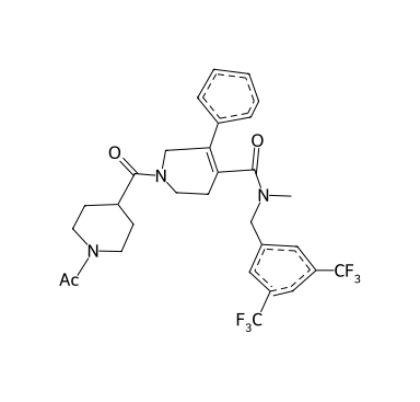 CC(=O)N1CCC(C(=O)N2CCC(C(=O)N(C)Cc3cc(C(F)(F)F)cc(C(F)(F)F)c3)=C(c3ccccc3)C2)CC1